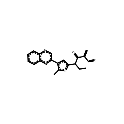 C=C(C=O)C(=O)C(CC)c1cc(-c2cnc3ccccc3n2)c(C)o1